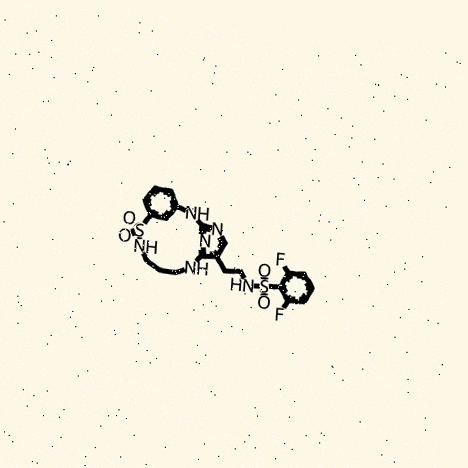 O=S1(=O)NCCCNc2nc(ncc2CCNS(=O)(=O)c2c(F)cccc2F)Nc2cccc1c2